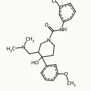 COc1cccc(C2(O)CCN(C(=O)Nc3cccc(Cl)c3)CC2CN(C)C)c1